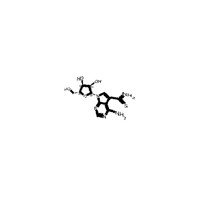 NC(=S)c1cn([C@@H]2O[C@H](CO)[C@@H](O)[C@H]2O)c2ncnc(N)c12